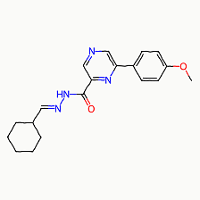 COc1ccc(-c2cncc(C(=O)NN=CC3CCCCC3)n2)cc1